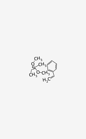 C=Cc1ccccc1.CC[Si](C)(OC)OC